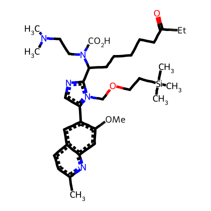 CCC(=O)CCCCCC(c1ncc(-c2cc3ccc(C)nc3cc2OC)n1COCC[Si](C)(C)C)N(CCN(C)C)C(=O)O